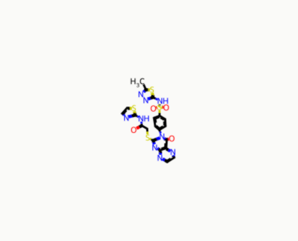 Cc1nnc(NS(=O)(=O)c2ccc(-n3c(SCC(=O)Nc4nccs4)nc4nccnc4c3=O)cc2)s1